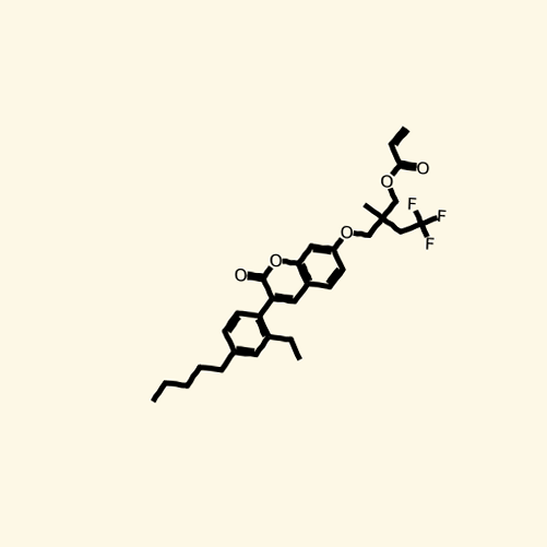 C=CC(=O)OCC(C)(COc1ccc2cc(-c3ccc(CCCCC)cc3CC)c(=O)oc2c1)CC(F)(F)F